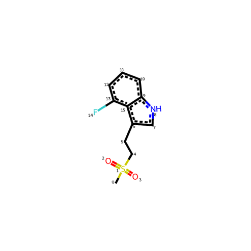 CS(=O)(=O)CCc1c[nH]c2cccc(F)c12